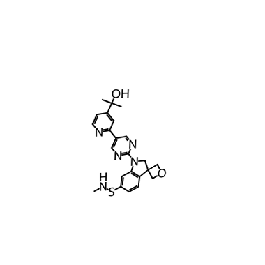 CNSc1ccc2c(c1)N(c1ncc(-c3cc(C(C)(C)O)ccn3)cn1)CC21COC1